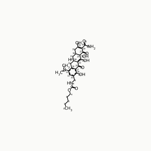 CCCCCOC(=O)NCc1cc(N(C)C)c2c(c1O)C(=O)C1=C(O)[C@]3(O)C(=O)C(C(N)=O)=C(O)CC3C[C@@H]1C2